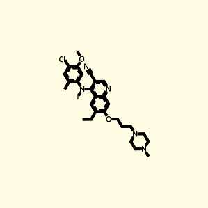 CCc1cc2c(N(I)c3cc(OC)c(Cl)cc3C)c(C#N)cnc2cc1OCCCN1CCN(C)CC1